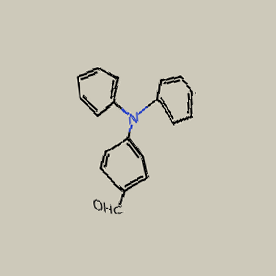 O=Cc1ccc(N(c2cc[c]cc2)c2ccccc2)cc1